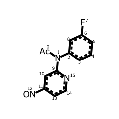 CC(=O)N(c1cccc(F)c1)c1cc(N=O)ccn1